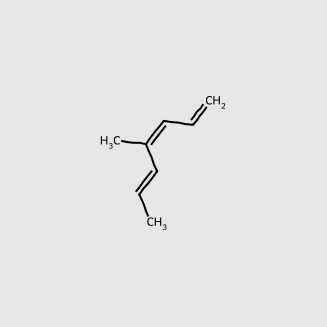 C=CC=C(C)C=CC